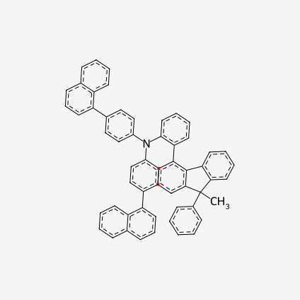 CC1(c2ccccc2)c2ccccc2-c2c(-c3ccccc3N(c3ccc(-c4cccc5ccccc45)cc3)c3ccc(-c4cccc5ccccc45)cc3)cccc21